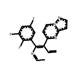 C=C/C(=C(\N=C/C)c1cc(F)cc(F)c1F)c1ccn2nccc2n1